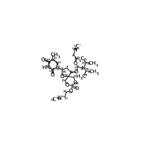 [C-]#[N+]CCOP(O[C@@H]1C[C@H](n2cc(C)c(=O)[nH]c2=O)OC12COP(=O)(OCC[N+]#[C-])OC2)N(C(C)C)C(C)C